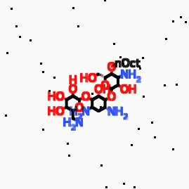 CCCCCCCCO[C@H]1C(N)[C@@H](O)C(OC2[C@@H](O)C(O[C@H]3OC(CN)[C@@H](O)[C@H](O)C3O)C(N)C[C@H]2N)O[C@@H]1CO